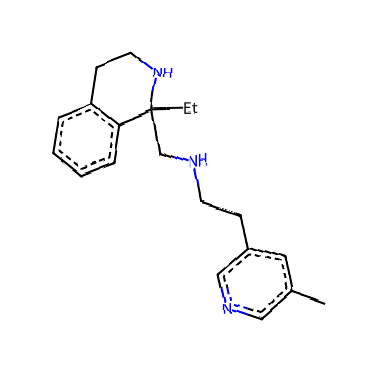 CCC1(CNCCc2cncc(C)c2)NCCc2ccccc21